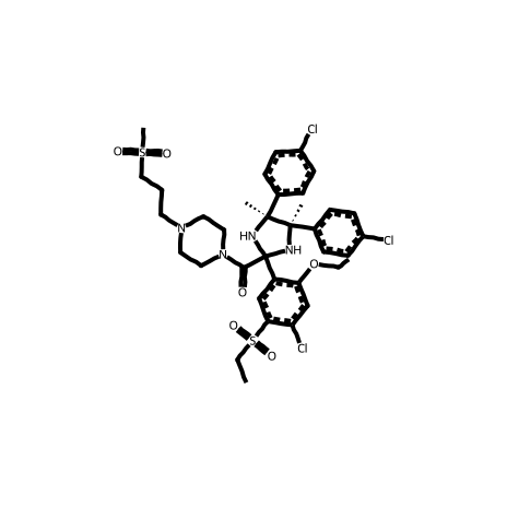 CCOc1cc(Cl)c(S(=O)(=O)CC)cc1C1(C(=O)N2CCN(CCCS(C)(=O)=O)CC2)N[C@@](C)(c2ccc(Cl)cc2)[C@@](C)(c2ccc(Cl)cc2)N1